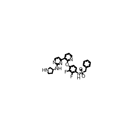 O=S(=O)(Cc1ccccc1)Nc1ccc(Oc2ncccc2-c2ccnc(N[C@H]3CCNC3)n2)c(F)c1F